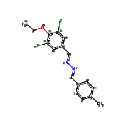 Cc1ccc(/C=N/N=C/c2cc(F)c(OCC(F)(F)F)c(F)c2)cc1